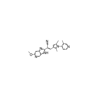 COc1cc2nc(C(C#N)=Cc3cc(C)n(-c4ccncc4C)c3C)[nH]c2cn1